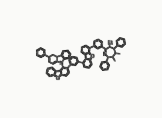 CCC1C(c2cccc(-c3cccc4c3oc3cccc(-c5cccc(-c6ccc7oc8ccccc8c7c6N6C7=CC=C(c8ccccc8)CC7c7ccccc76)c5)c34)c2)=NC(c2ccccc2)C(C)C(C)C1c1ccccc1